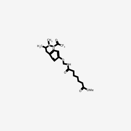 COC(=O)CCCCCC(=O)NCOc1ccc(CC(C)N(C)NC(=O)C(F)(F)F)cc1